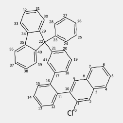 Clc1cc2ccccc2cc1-c1ccccc1-c1cccc(C2(c3ccccc3)c3ccccc3-c3ccccc32)c1